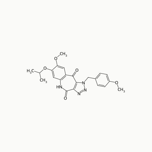 COc1ccc(Cn2nnc3c(=O)[nH]c4cc(OC(C)C)c(OC)cc4c(=O)c32)cc1